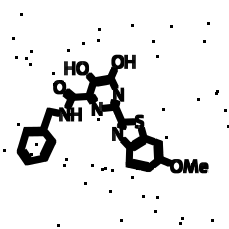 COc1ccc2nc(-c3nc(O)c(O)c(C(=O)NCc4ccccc4)n3)sc2c1